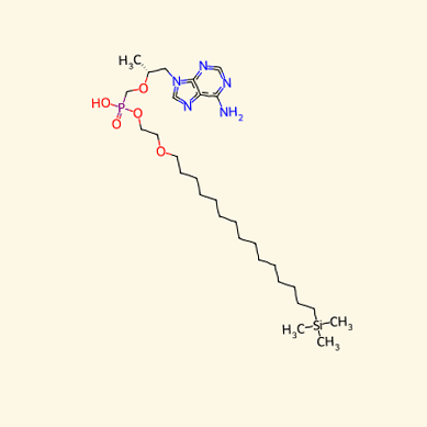 C[C@H](Cn1cnc2c(N)ncnc21)OCP(=O)(O)OCCOCCCCCCCCCCCCCCC[Si](C)(C)C